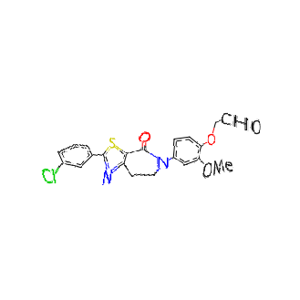 COc1cc(N2CCc3nc(-c4cccc(Cl)c4)sc3C2=O)ccc1OCC=O